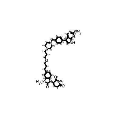 Cn1c(=O)n(C2CCC(=O)NC2=O)c2ccc(CCCOCCCN3CCN(Cc4ccc(-c5c[nH]c6nc(N)ncc56)cc4)CC3)cc21